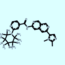 BC1(B)N(c2cc(C(=O)Nc3cc4cc(-c5cnc(C)n5C)ncc4cn3)ccn2)C(B)(B)C(B)(B)C(B)(B)C1(B)B